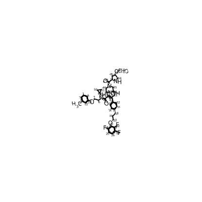 Cc1cccc(OCCN(C(=O)C2=C(c3ccc(CCCOc4c(F)ccc(F)c4F)cc3)C[C@H]3CN(C(=O)C4C[C@@H](OC=O)CN4)C[C@@H]2N3)C2CC2)c1